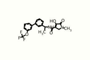 CC(NC(=O)C1=C(O)C(=O)N(C)C1)c1cccc(-c2cccc(OC(F)(F)F)c2)c1